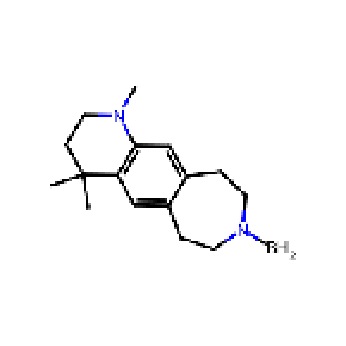 BN1CCc2cc3c(cc2CC1)C(C)(C)CCN3C